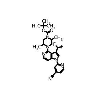 CC1CN(c2nccc3c2c(C(F)F)cn3-c2cc(C#N)ccn2)C(C)CN1C(=O)OC(C)(C)C